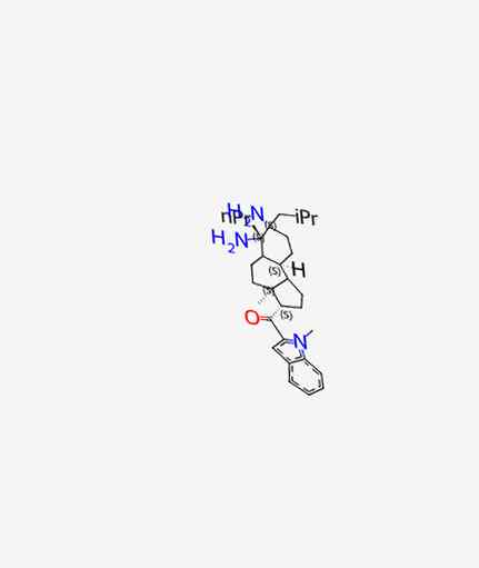 CCC[C@]1(N)C2CC[C@@]3(C)C(CC[C@@H]3C(=O)c3cc4ccccc4n3C)[C@@H]2CC[C@]1(N)CC(C)C